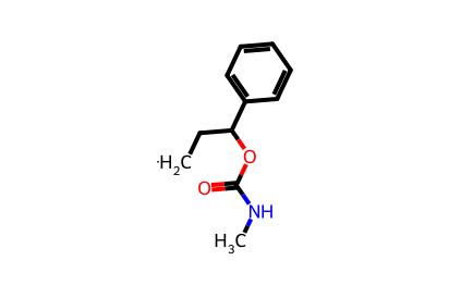 [CH2]CC(OC(=O)NC)c1ccccc1